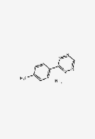 Cc1ccc(-c2nncnn2)cc1.N